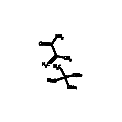 C=C(C)C(N)=O.CO[Si](C)(OC)OC